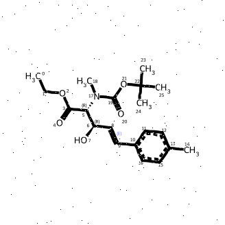 CCOC(=O)[C@@H]([C@H](O)/C=C/c1ccc(C)cc1)N(C)C(=O)OC(C)(C)C